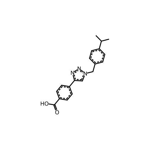 CC(C)c1ccc(Cn2cc(-c3ccc(C(=O)O)cc3)nn2)cc1